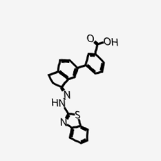 O=C(O)c1cccc(-c2ccc3c(c2)C(=NNc2nc4ccccc4s2)CC3)c1